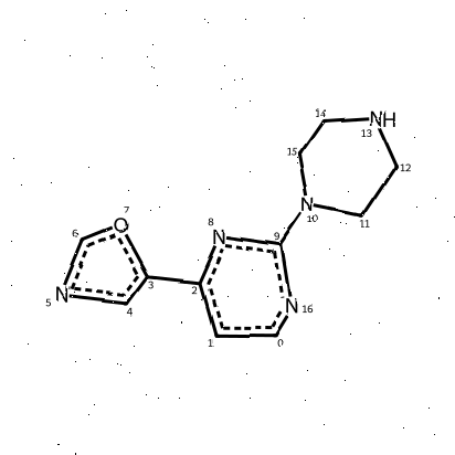 c1cc(-c2cnco2)nc(N2CCNCC2)n1